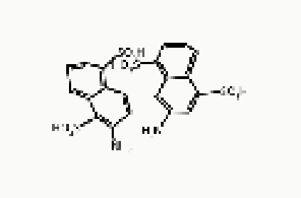 Nc1cc(S(=O)(=O)O)c2cccc(S(=O)(=O)O)c2c1.Nc1ccc2c(S(=O)(=O)O)cccc2c1S(=O)(=O)O